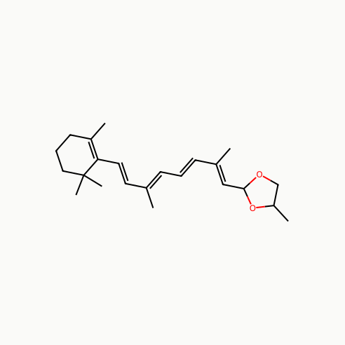 CC(C=CC1=C(C)CCCC1(C)C)=CC=CC(C)=CC1OCC(C)O1